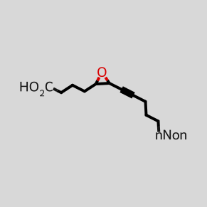 CCCCCCCCCCCCC#CC1OC1CCCC(=O)O